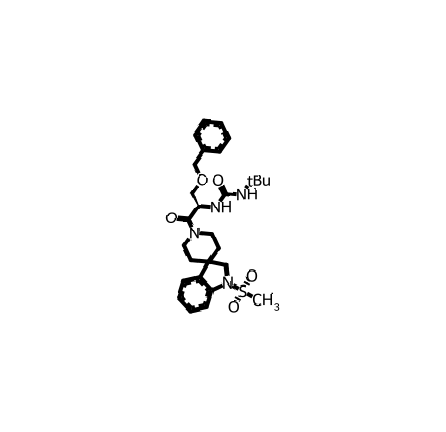 CC(C)(C)NC(=O)N[C@H](COCc1ccccc1)C(=O)N1CCC2(CC1)CN(S(C)(=O)=O)c1ccccc12